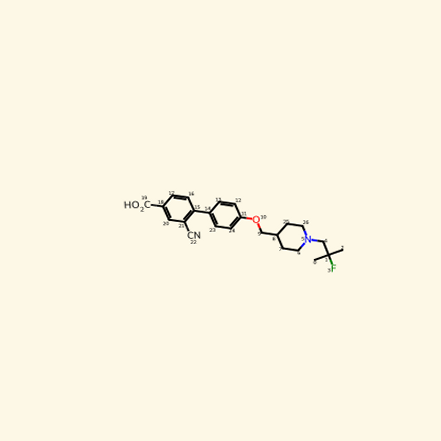 CC(C)(F)CN1CCC(COc2ccc(-c3ccc(C(=O)O)cc3C#N)cc2)CC1